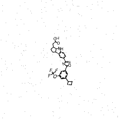 O=C(O)CC1CCC2c3cc(-c4noc(-c5cc(OC(F)(F)F)cc(C6CCC6)c5)n4)ccc3NC12